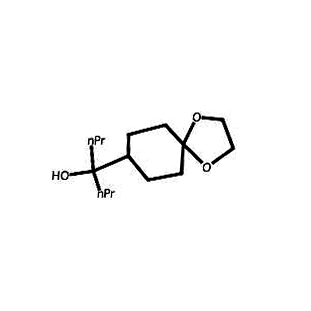 CCCC(O)(CCC)C1CCC2(CC1)OCCO2